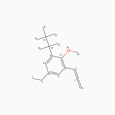 C=C=Cc1cc(CC)cc(C(C)(C)C(C)(C)C)c1OC